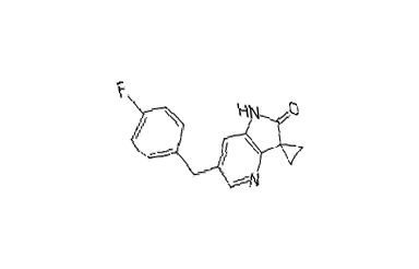 O=C1Nc2cc(Cc3ccc(F)cc3)cnc2C12CC2